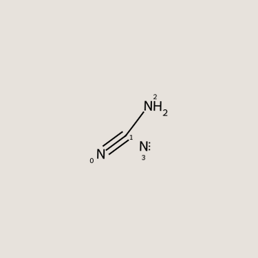 N#CN.[N]